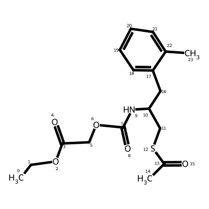 CCOC(=O)COC(=O)NC(CSC(C)=O)Cc1ccccc1C